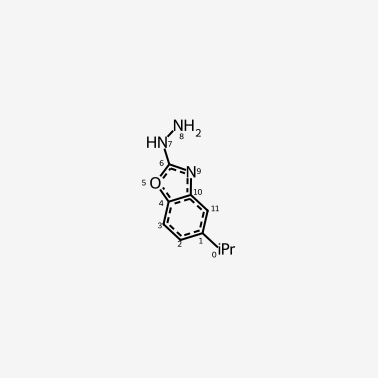 CC(C)c1ccc2oc(NN)nc2c1